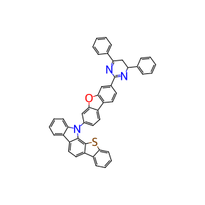 c1ccc(C2=NC(c3ccc4c(c3)oc3cc(-n5c6ccccc6c6ccc7c8ccccc8sc7c65)ccc34)=NC(c3ccccc3)C2)cc1